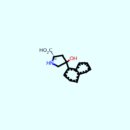 O=C(O)[C@@H]1CC(O)(c2cccc3ccccc23)CN1